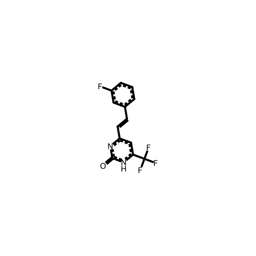 O=c1nc(C=Cc2cccc(F)c2)cc(C(F)(F)F)[nH]1